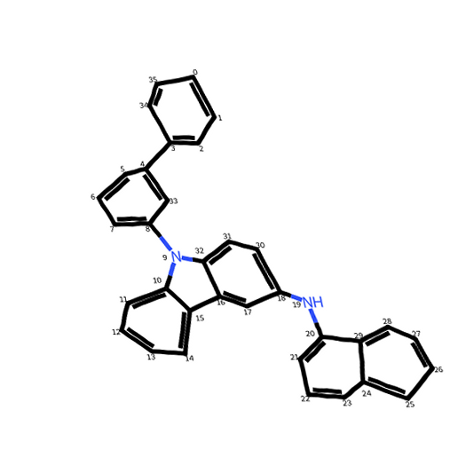 c1ccc(-c2cccc(-n3c4ccccc4c4cc(Nc5cccc6ccccc56)ccc43)c2)cc1